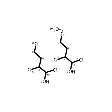 O.OC(Cl)C(Cl)CCCl.OC(Cl)C(Cl)CCCl